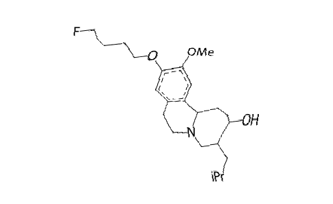 COc1cc2c(cc1OCCCCF)CCN1CC(CC(C)C)C(O)CC21